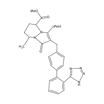 CCCCCc1c(Cc2ccc(-c3ccccc3-c3nnn[nH]3)cc2)c(=O)n2n1C(C(=O)OC)CCC2C